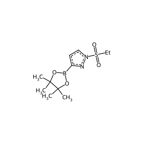 CCS(=O)(=O)n1ccc(B2OC(C)(C)C(C)(C)O2)n1